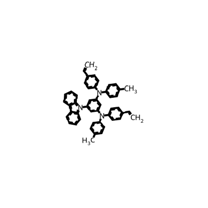 C=Cc1ccc(N(c2ccc(C)cc2)c2cc(N(c3ccc(C)cc3)c3ccc(C=C)cc3)cc(-n3c4ccccc4c4ccccc43)c2)cc1